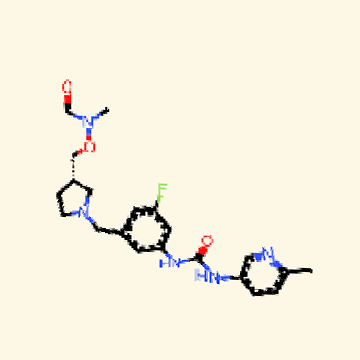 Cc1ccc(NC(=O)Nc2cc(F)cc(CN3CC[C@H](CON(C)C=O)C3)c2)cn1